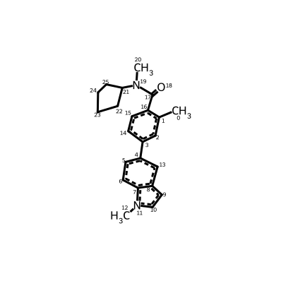 Cc1cc(-c2ccc3c(ccn3C)c2)ccc1C(=O)N(C)C1CCCC1